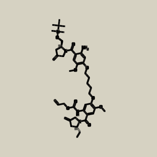 C=CCOC(=O)Nc1cc(OCCCCCOc2cc(N)c(C(=O)N3CC(=C)C[C@H]3CO[Si](C)(C)C(C)(C)C)cc2OC)c(OC)cc1C(=O)N1CC(=C)C[C@H]1CC